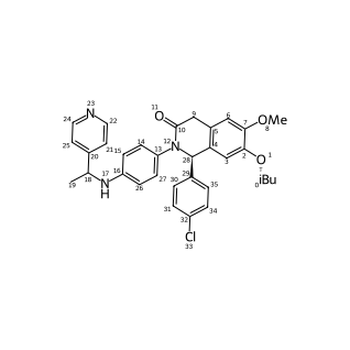 CC[C@@H](C)Oc1cc2c(cc1OC)CC(=O)N(c1ccc(NC(C)c3ccncc3)cc1)[C@@H]2c1ccc(Cl)cc1